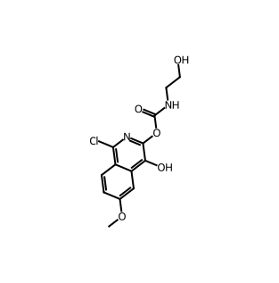 COc1ccc2c(Cl)nc(OC(=O)NCCO)c(O)c2c1